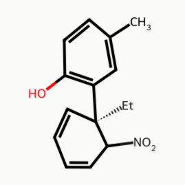 CC[C@@]1(c2cc(C)ccc2O)C=CC=CC1[N+](=O)[O-]